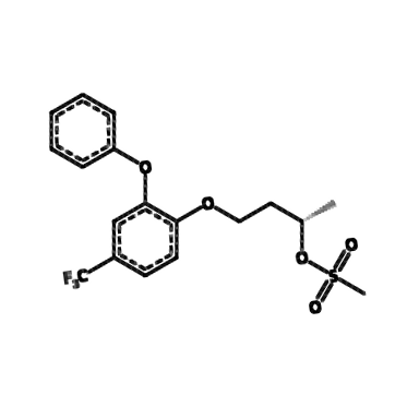 C[C@@H](CCOc1ccc(C(F)(F)F)cc1Oc1ccccc1)OS(C)(=O)=O